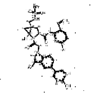 C=Cc1ccc(Br)nc1NC(=O)[C@@H]1C[C@@]2(CNS(=O)(=O)CCC)C[C@H]2N1C(=O)Cn1nc(C(C)=O)c2cc(-c3cnc(C)nc3)ccc21